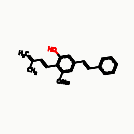 C=C(C)C=Cc1c(O)cc(C=Cc2ccccc2)cc1OC